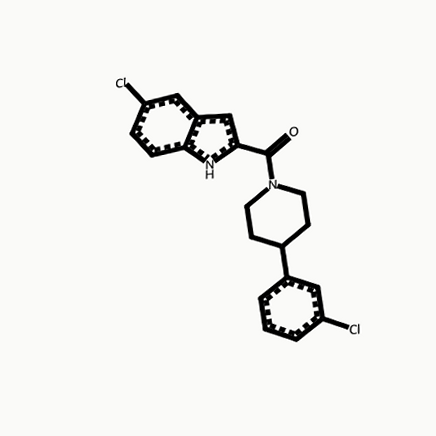 O=C(c1cc2cc(Cl)ccc2[nH]1)N1CCC(c2cccc(Cl)c2)CC1